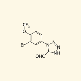 O=CC1NN=NN1c1ccc(OC(F)(F)F)c(Br)c1